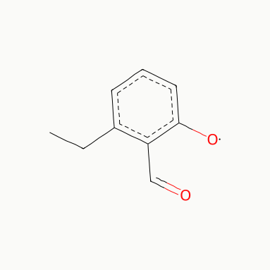 CCc1cccc([O])c1C=O